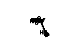 O=C1CCC(N2Cc3c(CCCCCCCCNC45CC6CC(CC(C6)C4)C5)cc(F)cc3C2=O)C(=O)N1